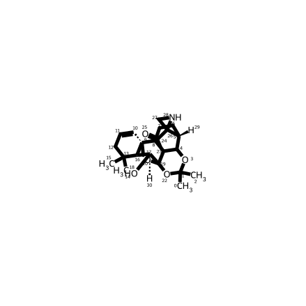 CC1(C)OC2[C@H]3CCC4[C@]56C=CCC(C)(C)C5[C@H](O)C(OC6)(O1)[C@@]24C(=O)C31CN1